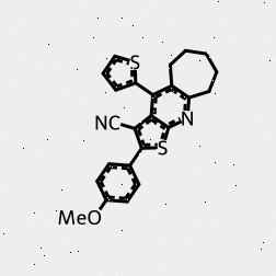 COc1ccc(-c2sc3nc4c(c(-c5cccs5)c3c2C#N)CCCCC4)cc1